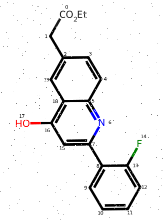 CCOC(=O)Cc1ccc2nc(-c3ccccc3F)cc(O)c2c1